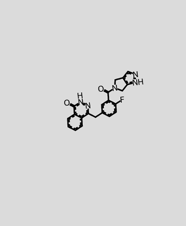 O=C(c1cc(Cc2n[nH]c(=O)c3ccccc23)ccc1F)N1Cc2cn[nH]c2C1